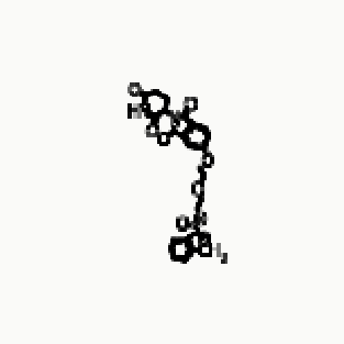 Cc1ccccc1S(=O)(=O)OCCOCCOc1ccc2c(c1)C(=O)N(C1CCC(=O)NC1=O)C2=O